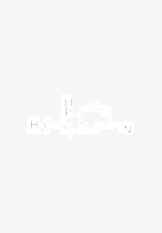 Cc1cc2cc(C#N)ccc2[pH]1